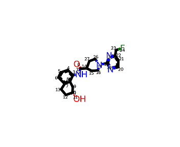 O=C(Nc1cccc2c1C[C@H](O)CC2)C1CCN(c2nccc(CF)n2)CC1